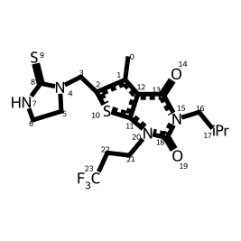 Cc1c(CN2CCNC2=S)sc2c1c(=O)n(CC(C)C)c(=O)n2CCC(F)(F)F